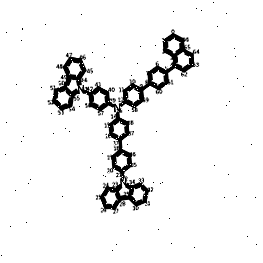 c1ccc2c(-c3ccc(-c4ccc(N(c5ccc(-c6ccc(-n7c8ccccc8c8ccccc87)cc6)cc5)c5ccc(-n6c7ccccc7c7ccccc76)cc5)cc4)cc3)cccc2c1